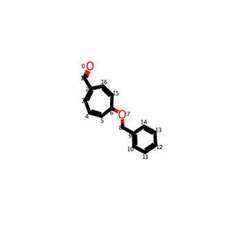 O=CC1=CC=CC(OCc2ccccc2)C=C1